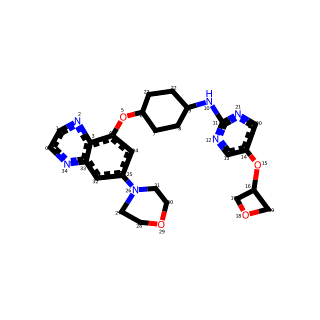 c1cnc2c(OC3CCC(Nc4ncc(OC5COC5)cn4)CC3)cc(N3CCOCC3)cc2n1